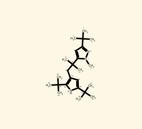 Cn1nc(C(C)(C)C)cc1C(C)(C)Cc1cc(C(C)(C)C)[nH]c1C(C)(C)C